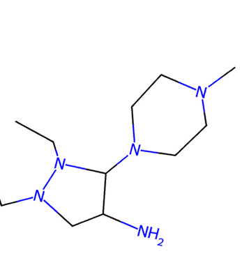 CCN1CC(N)C(N2CCN(C)CC2)N1CC